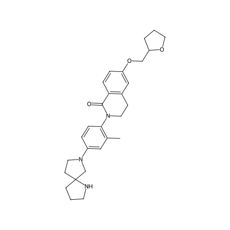 Cc1cc(N2CCC3(CCCN3)C2)ccc1N1CCc2cc(OCC3CCCO3)ccc2C1=O